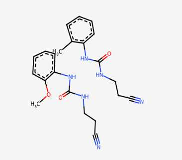 COc1ccccc1NC(=O)NCCC#N.Cc1ccccc1NC(=O)NCCC#N